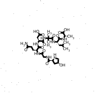 CC(C)C[C@H](NC(=O)C(C)(C)NC(=O)[C@H](CC(=O)O)NC(=O)[C@H](CCC(N)=O)NC(=O)CNC(=O)[C@@H]1C[C@@H](O)CN1)C(=O)N[C@@H](C)C(=O)O